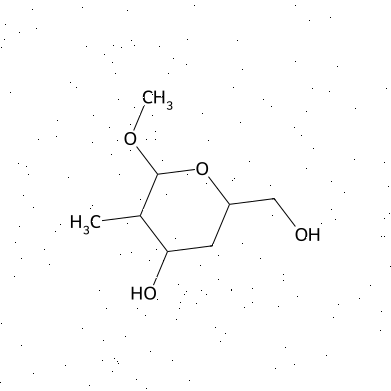 COC1OC(CO)CC(O)C1C